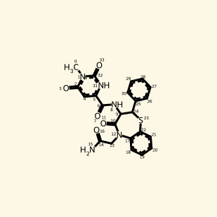 Cn1c(=O)cc(C(=O)NC2C(=O)N(CC(N)=O)c3ccccc3SC2c2ccccc2)[nH]c1=O